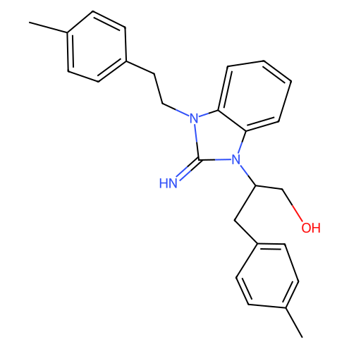 Cc1ccc(CCn2c(=N)n(C(CO)Cc3ccc(C)cc3)c3ccccc32)cc1